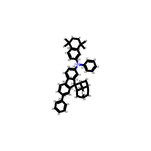 CC1(C)CCC(C)(C)c2cc(N(c3ccccc3)c3ccc4c(c3)C3(c5cc(-c6ccccc6)ccc5-4)C4CC5CC6CC3C64C5)ccc21